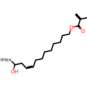 C=C(C)C(=O)OCCCCCCCC/C=C\CC(O)CCCCCC